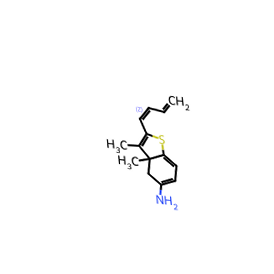 C=C/C=C\C1=C(C)C2(C)CC(N)=CC=C2S1